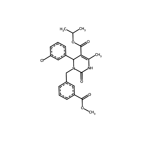 COC(=O)c1cccc(CN2C(=O)NC(C)=C(C(=O)OC(C)C)C2c2cccc(Cl)c2)c1